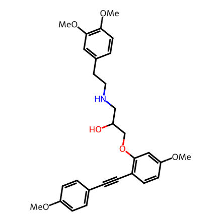 COc1ccc(C#Cc2ccc(OC)cc2OCC(O)CNCCc2ccc(OC)c(OC)c2)cc1